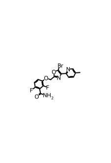 Cc1ccc(-c2nc(COc3ccc(F)c(C(N)=O)c3F)oc2Br)nc1